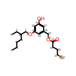 CCCCC(CC)COc1cc(O)cc(COC(=O)CCCBr)c1